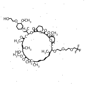 CO[C@@H]1C[C@H](C[C@@H](C)[C@@H]2CC(=O)[C@H](C)/C=C(\C)[C@@H](O)[C@@H](OC)C(=O)[C@H](C)C[C@H](C)/C=C/C=C/C=C(\C)C(OCCOCCOCC(F)(F)F)C[C@@H]3CC[C@@H](C)[C@@](O)(O3)C(=O)C(=O)N3CCCC[C@H]3C(=O)O2)CC[C@H]1OCCO